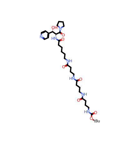 CC(C)(C)OC(=O)NCCCC(=O)NCCCC(=O)NCCCC(=O)NCCCCCC(=O)N[C@@H](C(=O)N1CCCC1)[C@@H](O)c1ccncc1